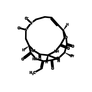 C/C=C1\NC(=O)[C@H]2C[S+]([O-])[S+]([O-])CC/C=C/[C@H](CC(=O)N[C@H](C(C)C)C(=O)N2)OC(=O)[C@H](C(C)C)NC1=O